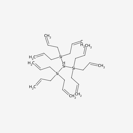 C=CC[Si](CC=C)(CC=C)[SiH]([Si](CC=C)(CC=C)CC=C)[Si](CC=C)(CC=C)CC=C